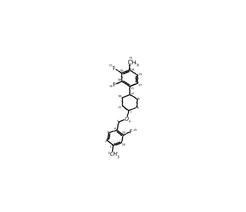 Cc1ccc(COC2CCC(c3ccc(C)c(F)c3F)CC2)c(F)c1